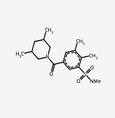 CNS(=O)(=O)c1cc(C(=O)N2CC(C)CC(C)C2)cc(C)c1C